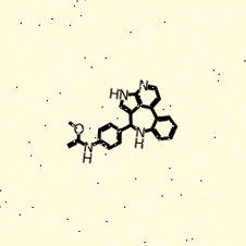 C=C(Nc1ccc(C2Nc3ccccc3-c3ccnc4[nH]cc2c34)cc1)OC